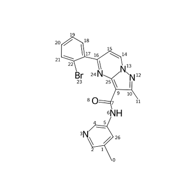 Cc1cncc(NC(=O)c2c(C)nn3ccc(-c4ccccc4Br)nc23)c1